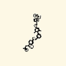 CC(=O)CC1COc2cc(OCc3cccc(-c4c(C)cc(OCC5CCC(S(C)(=O)=O)O5)cc4C)c3)ccc21